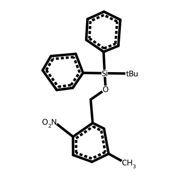 Cc1ccc([N+](=O)[O-])c(CO[Si](c2ccccc2)(c2ccccc2)C(C)(C)C)c1